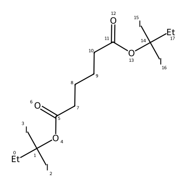 CCC(I)(I)OC(=O)CCCCC(=O)OC(I)(I)CC